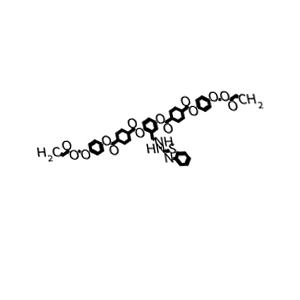 C=CC(=O)OCOc1ccc(OC(=O)C2CCC(C(=O)Oc3ccc(OC(=O)C4CCC(C(=O)Oc5ccc(OCOC(=O)C=C)cc5)CC4)c(CNNc4nc5ccccc5s4)c3)CC2)cc1